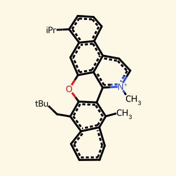 Cc1c2c(c(CC(C)(C)C)c3ccccc13)Oc1cc3c(C(C)C)cccc3c3cc[n+](C)c-2c13